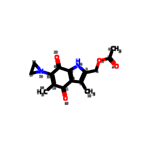 CC(=O)OCc1[nH]c2c(c1C)C(=O)C(C)=C(N1CC1)C2=O